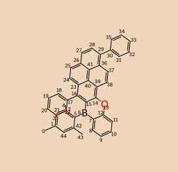 Cc1cc(C)c(B2c3ccccc3Oc3c2c(-c2ccccc2)c2ccc4ccc(-c5ccccc5)c5ccc3c2c45)c(C)c1